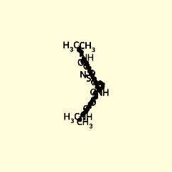 CC(C)/C=C/CNC(=O)COCCOC(COC1=CCCC(NC(=O)CCOCCOCCNC(C)C)=C1)SC#N